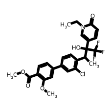 CCn1cc(C(O)(C(C)c2ccc(-c3ccc(C(=O)OC)c(OC)c3)cc2Cl)C(F)(F)F)ccc1=O